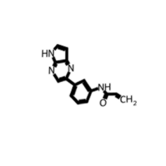 C=CC(=O)Nc1cccc(-c2cnc3[nH]ccc3n2)c1